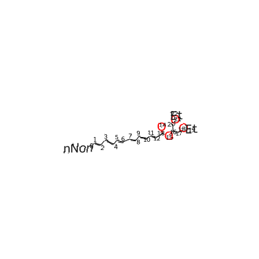 CCCCCCCCC/C=C/C=C/C=C/C=C/C=C/C=C/C(=O)OC(COCC)COCC